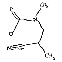 CC(C#N)CN(C)C(=O)Cl